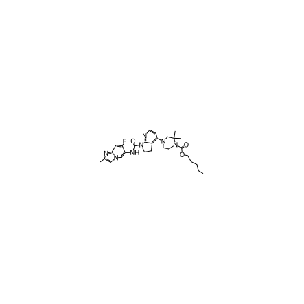 CCCCCOC(=O)N1CCN(c2ccnc3c2CCN3C(=O)Nc2cn3cc(C)nc3cc2F)CC1(C)C